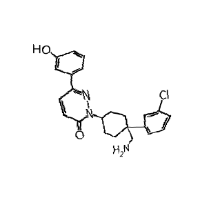 NC[C@]1(c2cccc(Cl)c2)CC[C@H](n2nc(-c3cccc(O)c3)ccc2=O)CC1